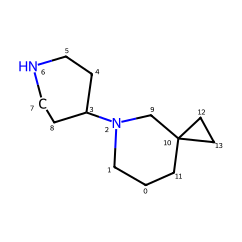 C1CN(C2CCNCC2)CC2(C1)CC2